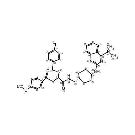 CCOc1ccc(C(=O)CC(SCc2ccc(Cl)cc2)C(=O)NC[C@H]2CC[C@@H](Nc3nc(N(C)C)c4ccccc4n3)CC2)cc1